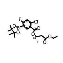 CCOC(=O)C[C@H](C)OC(=O)c1cc(B2OC(C)(C)C(C)(C)O2)c(F)cc1Cl